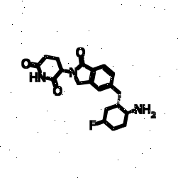 N[C@H]1CCC(F)C[C@@H]1Cc1ccc2c(c1)CN(C1CCC(=O)NC1=O)C2=O